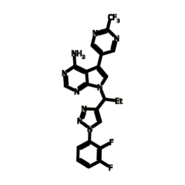 CCC(c1cn(-c2cccc(F)c2F)nn1)n1cc(-c2cnc(C(F)(F)F)nc2)c2c(N)ncnc21